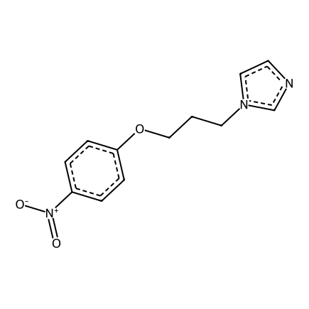 O=[N+]([O-])c1ccc(OCCCn2ccnc2)cc1